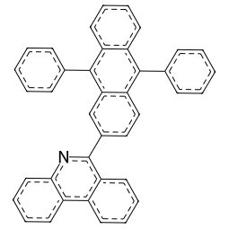 c1ccc(-c2c3ccccc3c(-c3ccccc3)c3cc(-c4nc5ccccc5c5ccccc45)ccc23)cc1